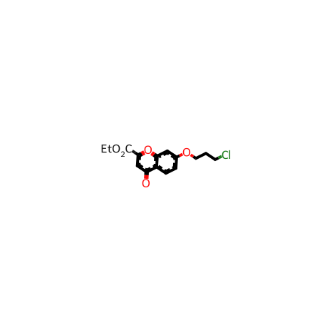 CCOC(=O)c1cc(=O)c2ccc(OCCCCl)cc2o1